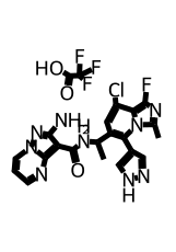 Cc1nc(F)c2c(Cl)cc(C(C)NC(=O)c3c(N)nn4cccnc34)c(-c3cn[nH]c3)n12.O=C(O)C(F)(F)F